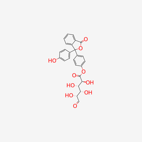 O=C[C@H](O)[C@@H](O)[C@H](O)[C@H](O)C(=O)Oc1ccc(C2(c3ccc(O)cc3)OC(=O)c3ccccc32)cc1